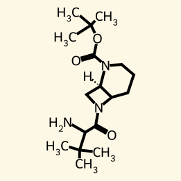 CC(C)(C)OC(=O)N1CCCC2[C@H]1CN2C(=O)C(N)C(C)(C)C